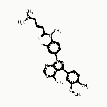 COc1cc(-c2nn(-c3ccc(N(C)C(=O)/C=C/CN(C)C)c(F)c3)c3ncnc(N)c23)ccc1C